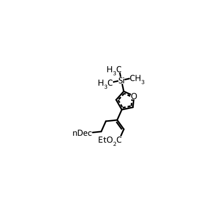 CCCCCCCCCCCCC(=CC(=O)OCC)c1coc([Si](C)(C)C)c1